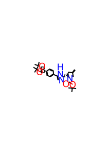 C=C1C[C@@H](c2ncc(-c3ccc(B4OC(C)(C)C(C)(C)O4)cc3)[nH]2)N(C(=O)OC(C)(C)C)C1